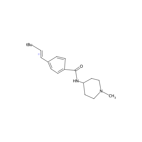 CN1CCC(NC(=O)c2ccc(/C=C/C(C)(C)C)cc2)CC1